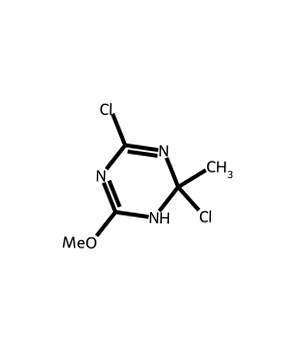 COC1=NC(Cl)=NC(C)(Cl)N1